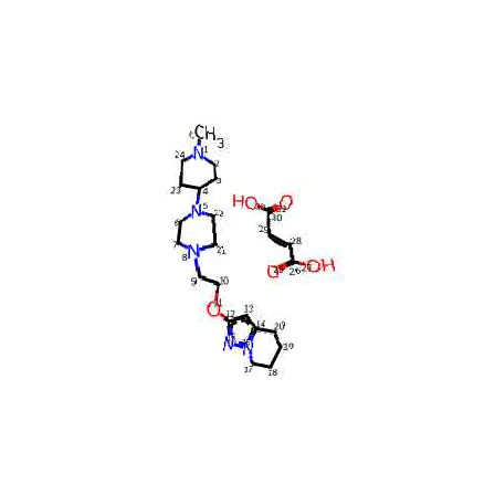 CN1CCC(N2CCN(CCOc3cc4n(n3)CCCC4)CC2)CC1.O=C(O)C=CC(=O)O